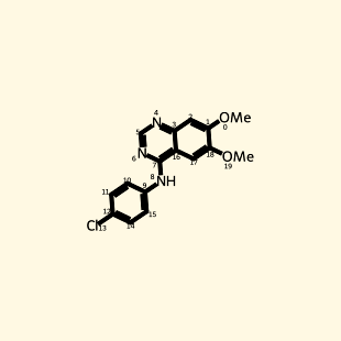 COc1cc2ncnc(Nc3ccc(Cl)cc3)c2cc1OC